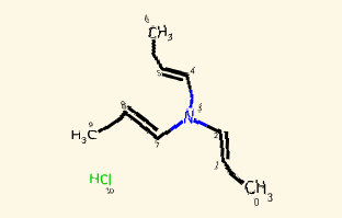 CC=CN(C=CC)C=CC.Cl